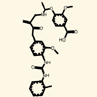 C=C(CNC(C)Oc1ccc(C(=O)O)cc1OC)C(=O)Cc1ccc(NC(=O)Nc2ccccc2C)c(OC)c1